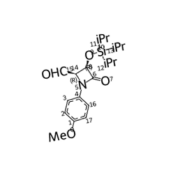 COc1ccc(N2C(=O)[C@H](O[Si](C(C)C)(C(C)C)C(C)C)[C@@H]2C=O)cc1